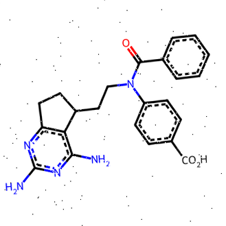 Nc1nc(N)c2c(n1)CCC2CCN(C(=O)c1ccccc1)c1ccc(C(=O)O)cc1